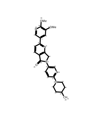 COc1cc(-c2ccc3c(n2)CN(c2ccc(N4CCC(C)CC4)nc2)C3=O)cnc1OC